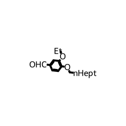 CCCCCCCCOc1ccc(C=O)cc1OCC